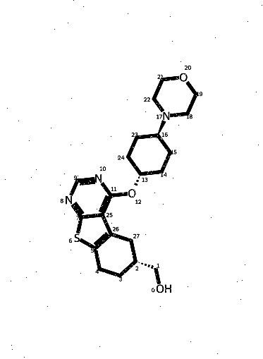 OC[C@@H]1CCc2sc3ncnc(O[C@H]4CC[C@H](N5CCOCC5)CC4)c3c2C1